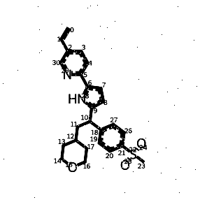 C=Cc1ccc(-c2ccc(C(CC3CCOCC3)c3ccc(S(C)(=O)=O)cc3)[nH]2)nc1